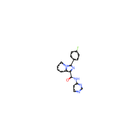 O=C(Nc1ccncn1)c1nc(-c2ccc(F)cc2)n2ccccc12